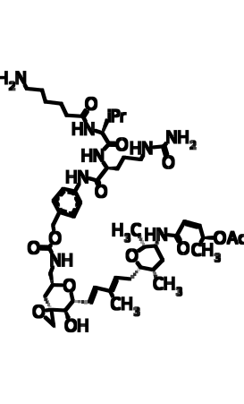 CC(=O)O[C@@H](C)/C=C\C(=O)N[C@@H]1C[C@H](C)[C@H](C/C=C(C)/C=C/[C@H]2O[C@H](CNC(=O)OCc3ccc(NC(=O)[C@H](CCCNC(N)=O)NC(=O)[C@@H](NC(=O)CCCCCN)C(C)C)cc3)C[C@@]3(CO3)[C@@H]2O)O[C@@H]1C